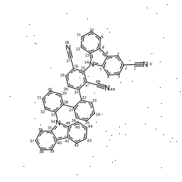 N#Cc1ccc2c(c1)c1ccccc1n2-c1c(C#N)ccc(-c2ccccc2-c2ccccc2-n2c3ccccc3c3ccccc32)c1C#N